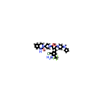 CN(C1CCCC1)C1CCN(C(=O)C(CC(=O)N2CCC(N3CCc4ccccc4NC3=O)CC2)Cc2cc(Cl)c(N)c(C(F)(F)F)c2)CC1